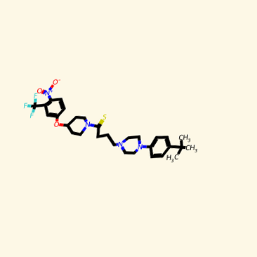 CC(C)(C)c1ccc(N2CCN(CCCC(=S)N3CCC(Oc4ccc([N+](=O)[O-])c(C(F)(F)F)c4)CC3)CC2)cc1